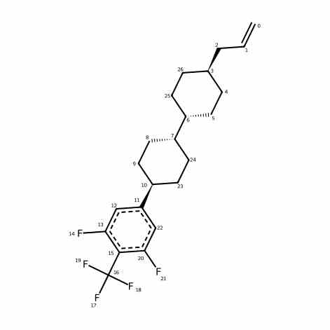 C=CC[C@H]1CC[C@H]([C@H]2CC[C@H](c3cc(F)c(C(F)(F)F)c(F)c3)CC2)CC1